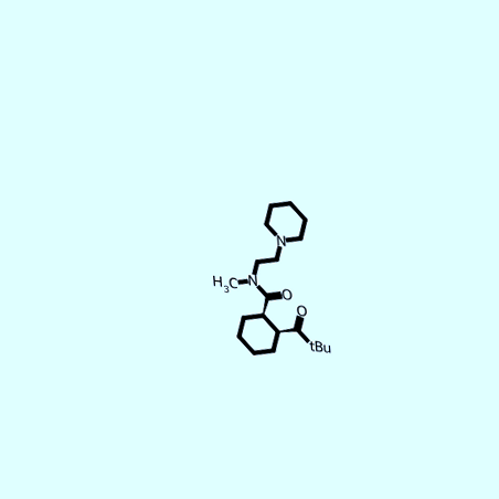 CN(CCN1CCCCC1)C(=O)[C@@H]1CCCC[C@@H]1C(=O)C(C)(C)C